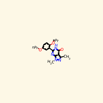 CCCOc1ccc(OCCC)c(-c2nc3c(c(C)nn3C)c(=O)[nH]2)c1